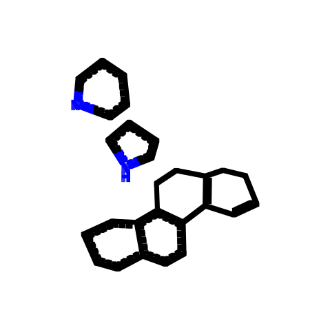 C1=CC2=C(CC1)CCc1c2ccc2ccccc12.c1cc[nH]c1.c1ccncc1